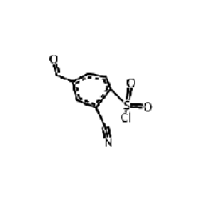 N#Cc1cc(C=O)ccc1S(=O)(=O)Cl